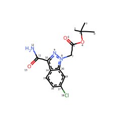 CC(C)(C)OC(=O)Cn1nc(C(N)=O)c2ccc(Cl)cc21